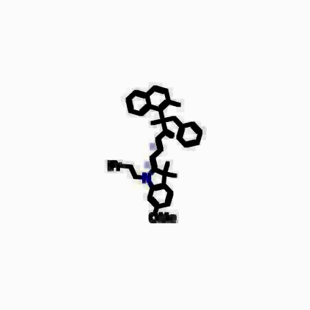 C=C(/C=C/C=C1/N(CCC(C)C)c2cc(OC)ccc2C1(C)C)C(C)(Cc1ccccc1)c1c(C)ccc2ccccc12